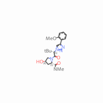 CNC(=O)[C@@H]1C[C@@H](O)CN1C(=O)[C@@H](n1cc(-c2ccccc2OC)nn1)C(C)(C)C